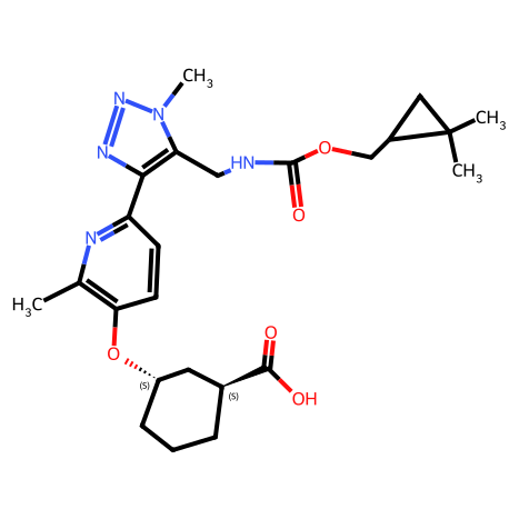 Cc1nc(-c2nnn(C)c2CNC(=O)OCC2CC2(C)C)ccc1O[C@H]1CCC[C@H](C(=O)O)C1